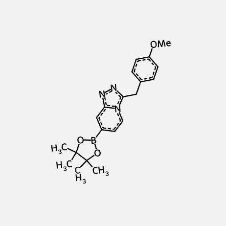 COc1ccc(Cc2nnc3cc(B4OC(C)(C)C(C)(C)O4)ccn23)cc1